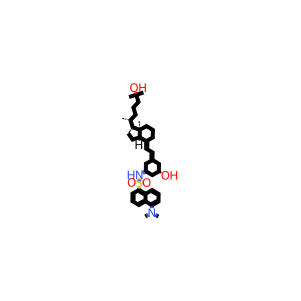 C[C@H](CCCC(C)(C)O)[C@H]1CC[C@H]2/C(=C/C=C3\CC(NS(=O)(=O)c4cccc5c(N(C)C)cccc45)C[C@H](O)C3)CCC[C@]12C